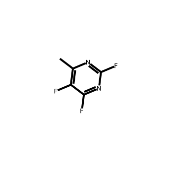 Cc1nc(F)nc(F)c1F